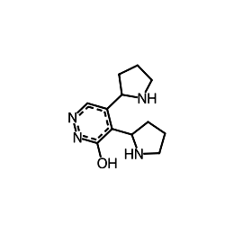 Oc1nncc(C2CCCN2)c1C1CCCN1